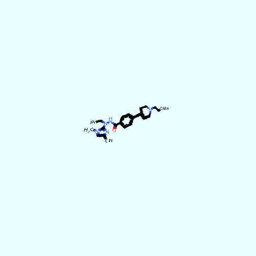 COCCN1CCC(c2ccc(C(=O)NN(CC(C)C)c3nc(C#N)cn3C)cc2)CC1